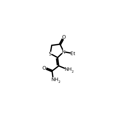 CCN1C(=O)CS/C1=C(/N)C(N)=O